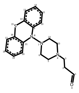 O=CCCN1CCN(N2c3ccccc3Sc3ccccc32)CC1